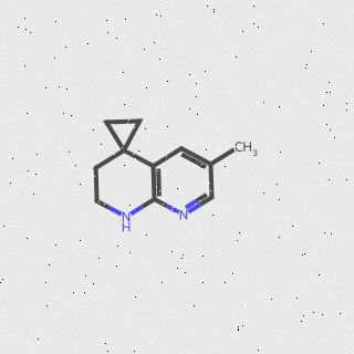 Cc1cnc2c(c1)C1(CCN2)CC1